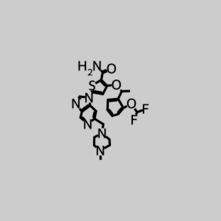 CC(Oc1cc(-n2cnc3cnc(CN4CCN(C)CC4)cc32)sc1C(N)=O)c1ccccc1OC(F)F